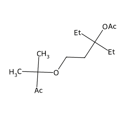 CCC(CC)(CCOC(C)(C)C(C)=O)OC(C)=O